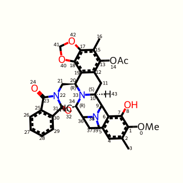 COc1c(C)cc2c(c1O)C1[C@@H]3Cc4c(OC(C)=O)c(C)c5c(c4[C@H](CN4C(=O)c6ccccc6C4=O)N3[C@@H](C#N)C(C2)N1C)OCO5